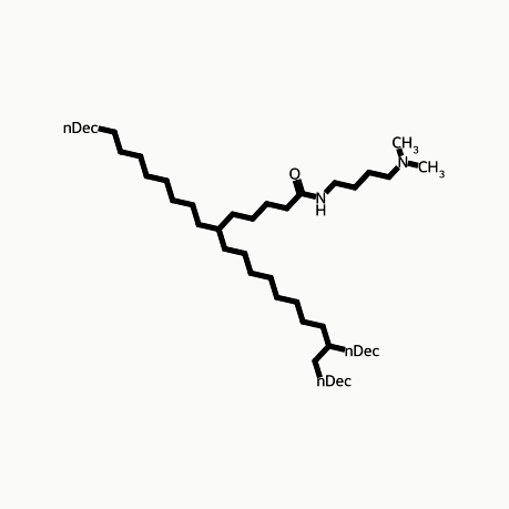 CCCCCCCCCCCCCCCCCCC(CCCCCCCCC(CCCCCCCCCC)CCCCCCCCCCC)CCCCC(=O)NCCCCN(C)C